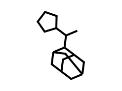 CC(C1CCCC1)C1[C]2CC3CC(C2)CC1C3